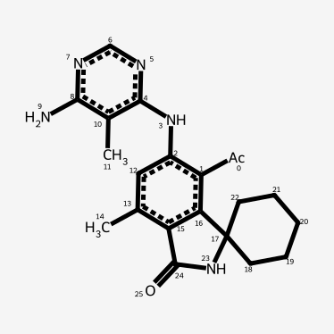 CC(=O)c1c(Nc2ncnc(N)c2C)cc(C)c2c1C1(CCCCC1)NC2=O